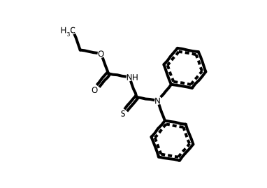 CCOC(=O)NC(=S)N(c1ccccc1)c1ccccc1